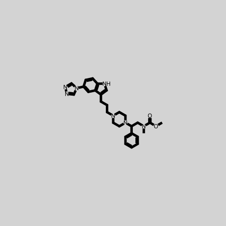 COC(=O)N(C)CC(c1ccccc1)N1CCN(CCCc2c[nH]c3ccc(-n4cnnc4)cc23)CC1